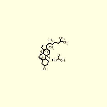 CC(C)CCC[C@@H](C)[C@H]1CC[C@H]2[C@@H]3CC=C4C[C@@H](O)CC[C@]4(C)[C@H]3CC[C@]12C.O=S(O)O